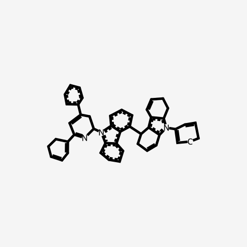 C1=CCCC(C2=NC(n3c4ccccc4c4c(C5CC=Cc6c5c5c(n6C6=CCCC=C6)CCC=C5)cccc43)CC(c3ccccc3)=C2)=C1